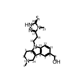 CN1CCc2c(c3cc(CO)ccc3n2CCc2n[nH]c(=S)n2C)C1